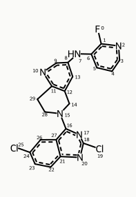 Fc1ncccc1Nc1cnc2c(c1)CN(c1nc(Cl)nc3ccc(Cl)cc13)CC2